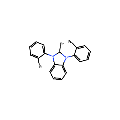 CC(C)c1ccccc1N1c2ccccc2N(c2ccccc2C(C)C)C1C(C)C